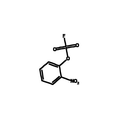 O=[N+]([O-])c1ccccc1OS(=O)(=O)F